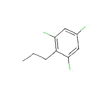 C[CH]Cc1c(Cl)cc(Cl)cc1Cl